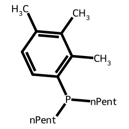 CCCCCP(CCCCC)c1ccc(C)c(C)c1C